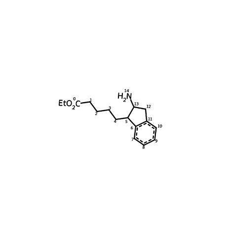 CCOC(=O)CCCCC1c2ccccc2CC1N